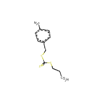 Cc1ccc(CSC(=S)SCCC(=O)O)cc1